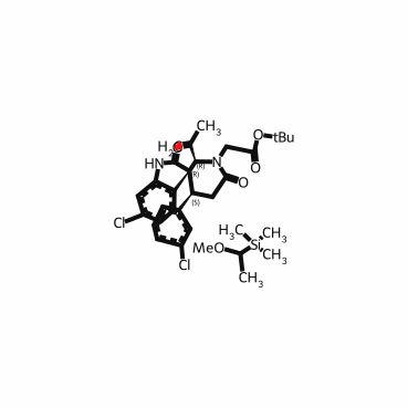 C=C(C)[C@H]1N(CC(=O)OC(C)(C)C)C(=O)C[C@@H](c2cccc(Cl)c2)[C@]12C(=O)Nc1cc(Cl)ccc12.COC(C)[Si](C)(C)C